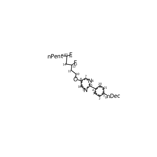 CCCCCCCCCCc1ccc(-c2ncc(OCCC(F)CC(F)CCCCC)cn2)cc1